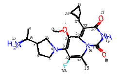 COc1c(N2CCC(C(C)N)C2)c(F)c(C)n2c(=O)[nH]c(=O)c(C3CC3)c12